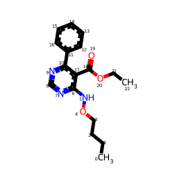 CCCCONc1ncnc(-c2ccccc2)c1C(=O)OCC